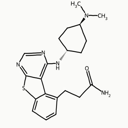 CN(C)[C@H]1CC[C@H](Nc2ncnc3sc4cccc(CCC(N)=O)c4c23)CC1